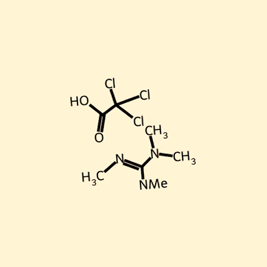 C/N=C(\NC)N(C)C.O=C(O)C(Cl)(Cl)Cl